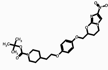 CC(C)(C)OC(=O)N1CCC(CCOc2ccc(OCC3CCn4cc([N+](=O)[O-])nc4O3)cc2)CC1